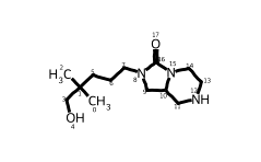 CC(C)(CO)CCCN1CC2CNCCN2C1=O